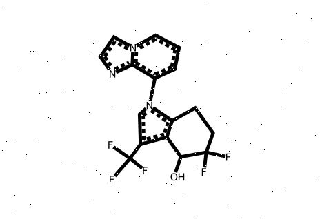 OC1c2c(C(F)(F)F)cn(-c3cccn4ccnc34)c2CCC1(F)F